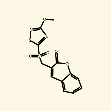 COc1nsc(S(=O)(=O)Cc2cc3ccccc3oc2=O)n1